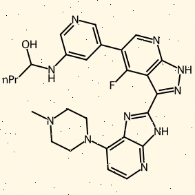 CCCC(O)Nc1cncc(-c2cnc3[nH]nc(-c4nc5c(N6CCN(C)CC6)ccnc5[nH]4)c3c2F)c1